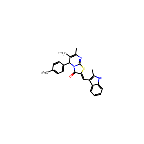 CCOC(=O)C1=C(C)N=c2s/c(=C\c3c(C)[nH]c4ccccc34)c(=O)n2C1c1ccc(OC)cc1